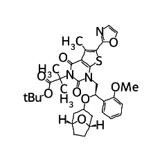 COc1ccccc1[C@H](Cn1c(=O)n(C(C)(C)C(=O)OC(C)(C)C)c(=O)c2c(C)c(-c3ncco3)sc21)OC1C[C@H]2CC[C@@H](C1)O2